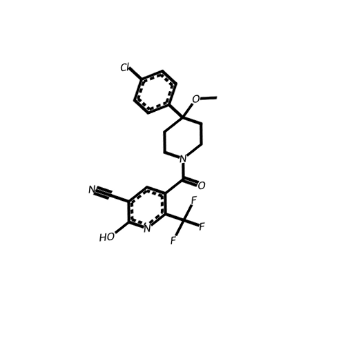 COC1(c2ccc(Cl)cc2)CCN(C(=O)c2cc(C#N)c(O)nc2C(F)(F)F)CC1